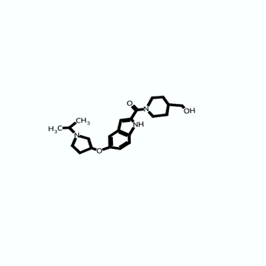 CC(C)N1CCC(Oc2ccc3[nH]c(C(=O)N4CCC(CO)CC4)cc3c2)C1